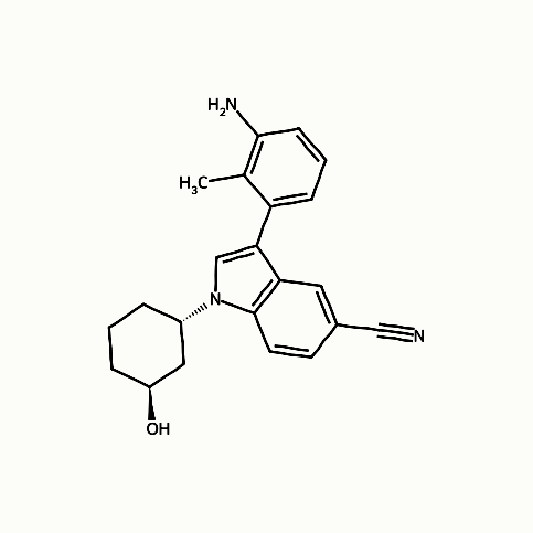 Cc1c(N)cccc1-c1cn([C@H]2CCC[C@H](O)C2)c2ccc(C#N)cc12